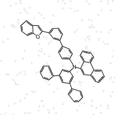 c1ccc(-c2cc(-c3ccccc3)cc(N(c3ccc(-c4cccc(-c5cc6ccccc6o5)c4)cc3)c3cc4ccccc4c4ccccc34)c2)cc1